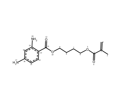 C=C(C)C(=O)OCCCCOC(=O)c1ccc(N)cc1N